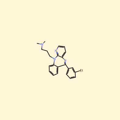 CCc1cccc(C2=Nc3cccnc3N(CCCN(C)C)c3ccccc32)c1